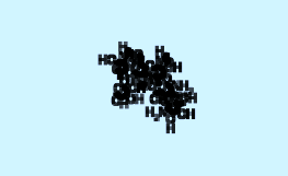 CC(=O)NC1C(O)[C@H](O[C@@H]2OC(CO)[C@@H](O[C@@H]3OC(CO)[C@@H](O)C(O)C3N)C(O)C2N)C(CO)O[C@H]1O[C@@H]1C(CO)O[C@@H](O[C@@H]2C(CO[C@@H]3OC4O[C@H]4C(O)C3O)O[C@@H](O)C(NC(C)=O)C2O)C(NC(C)=O)C1O